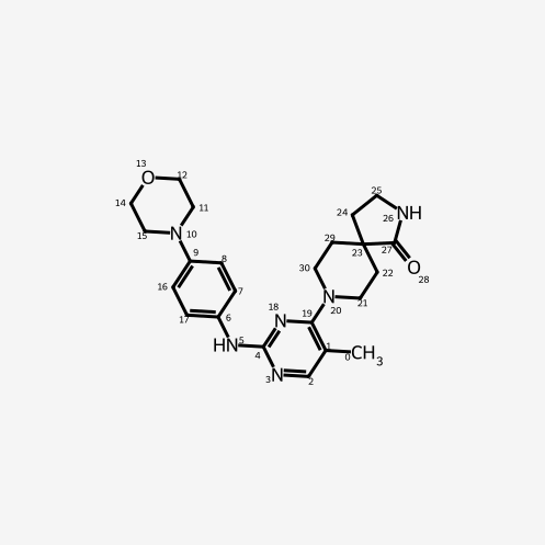 Cc1cnc(Nc2ccc(N3CCOCC3)cc2)nc1N1CCC2(CCNC2=O)CC1